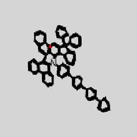 c1ccc(-c2ccc(-c3ccc(-c4ccc(N(c5cccc6c5-c5ccccc5C6(c5ccccc5)c5ccccc5)c5c(-c6ccc7ccccc7c6)c6ccccc6c6ccccc56)cc4)cc3)cc2)cc1